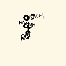 CN1CCN(c2cccc(Nc3ccc4c(-c5cc6c(=O)[nH]ccn6c5)c[nH]c4n3)c2)CC1